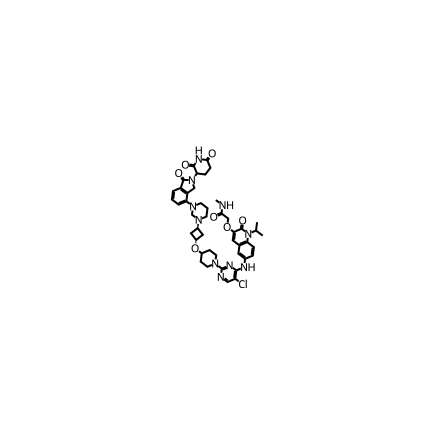 CNC(=O)COc1cc2cc(Nc3nc(N4CCC(O[C@H]5C[C@H](N6CCCN(c7cccc8c7CN(C7CCC(=O)NC7=O)C8=O)C6)C5)CC4)ncc3Cl)ccc2n(C(C)C)c1=O